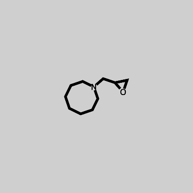 C1CCCN(CC2CO2)CCC1